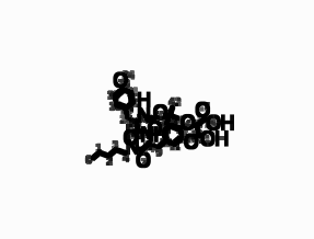 CCCCCNC(=O)[C@H](Cc1ccc(OC(C(=O)O)C(=O)O)cc1)NC(=O)[C@H](Cc1ccc(OC)cc1)NC(=O)OC(C)(C)C